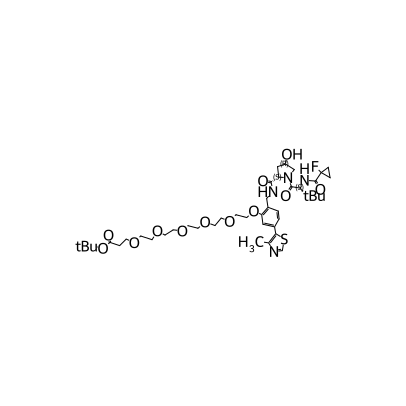 Cc1ncsc1-c1ccc(CNC(=O)[C@@H]2C[C@@H](O)CN2C(=O)[C@@H](NC(=O)C2(F)CC2)C(C)(C)C)c(OCCOCCOCCOCCOCCOCCC(=O)OC(C)(C)C)c1